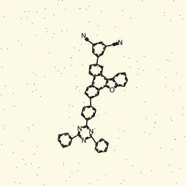 N#Cc1cc(C#N)cc(-c2ccc3c4ccc(-c5ccc(-c6nc(-c7ccccc7)nc(-c7ccccc7)n6)cc5)cc4c4oc5ccccc5c4c3c2)c1